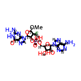 CO[C@H]1O[C@@H](n2cnc3c(=O)[nH]c(N)nc32)C(OP(=O)(O)OC[C@H]2O[C@@H](n3cnc4c(N)ncnc43)C(O)C2O)C1F